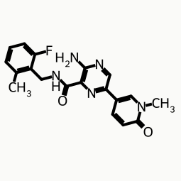 Cc1cccc(F)c1CNC(=O)c1nc(-c2ccc(=O)n(C)c2)cnc1N